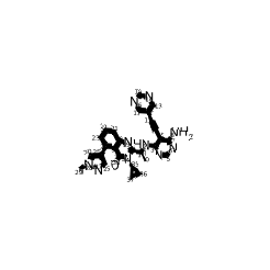 C[C@H](Nc1ncnc(N)c1C#Cc1cncnc1)c1nc2cccc(-c3cnn(C)c3)c2c(=O)n1C1CC1